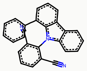 N#Cc1cccc(C#N)c1-n1c2ccccc2c2cccc(-c3ccccc3)c21